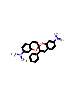 CCN(CC)c1ccc2c(c1)OC1(C=Cc3ccc(N(C)C)cc3O1)C(c1ccccc1)=C2